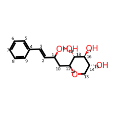 OC(/C=C/c1ccccc1)CC1OC[C@@H](O)[C@H](O)[C@H]1O